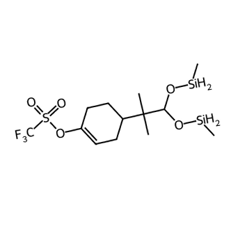 C[SiH2]OC(O[SiH2]C)C(C)(C)C1CC=C(OS(=O)(=O)C(F)(F)F)CC1